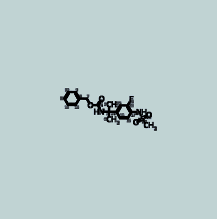 CC(C)(NC(=O)OCc1ccccc1)c1ccc(NS(C)(=O)=O)c(F)c1